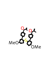 C=C(C)C(=O)c1ccc(-c2cc(OC)ccc2Sc2ccc(OC)cc2-c2ccc(C(=O)C(=C)C)cc2)cc1